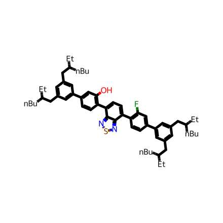 CCCCC(CC)Cc1cc(CC(CC)CCCC)cc(-c2ccc(-c3ccc(-c4ccc(-c5cc(CC(CC)CCCC)cc(CC(CC)CCCC)c5)cc4F)c4nsnc34)c(O)c2)c1